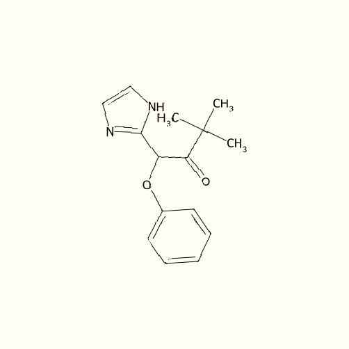 CC(C)(C)C(=O)C(Oc1ccccc1)c1ncc[nH]1